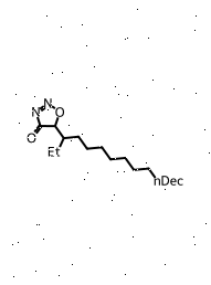 CCCCCCCCCCCCCCCCCC(CC)C1ON=NC1=O